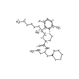 CNCC(CC1CCCCC1)NC(=O)N1CCC[C@@H]([C@@](O)(CCCCOC)c2cc(C)ccc2F)C1